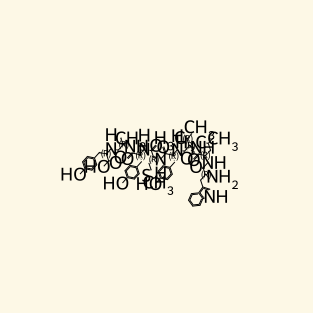 CC[C@@H](C)[C@@H](NC(=O)[C@@H](CC(C)C)NC(=O)[C@H](N)Cc1c[nH]c2ccccc12)C(=O)N[C@H](Cc1ccc(O)cc1)C(=O)N[C@H](CCSC)C(=O)N[C@H](Cc1ccc(O)cc1)C(=O)N[C@H](C)C(=O)N[C@H](Cc1ccc(O)cc1)C(=O)O